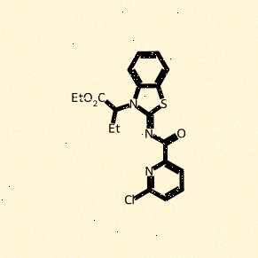 CCOC(=O)C(CC)n1c(=NC(=O)c2cccc(Cl)n2)sc2ccccc21